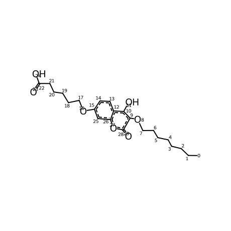 CCCCCCCCOc1c(O)c2ccc(OCCCCCC(=O)O)cc2oc1=O